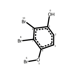 Oc1ccc(OBr)c(Br)c1Br